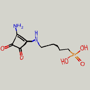 Nc1c(NCCCCP(=O)(O)O)c(=O)c1=O